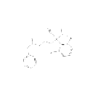 CC(C)C(C#N)(CCCN(C)Cc1ccccc1)c1c(Br)cccc1Br